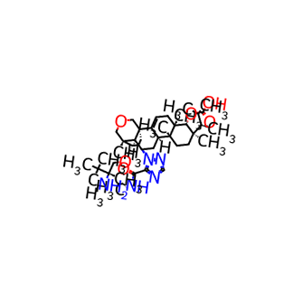 CNC(=O)c1ncnn1[C@@H]1C[C@@]23COC[C@](C)([C@@H]2CC[C@H]2C3=CC[C@]3(C)[C@H](OC(=O)O)[C@@](C)([C@H](C)C(C)C)CC[C@]23C)[C@H]1OC[C@](C)(N)C(C)(C)C